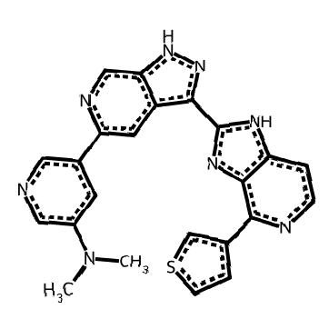 CN(C)c1cncc(-c2cc3c(-c4nc5c(-c6ccsc6)nccc5[nH]4)n[nH]c3cn2)c1